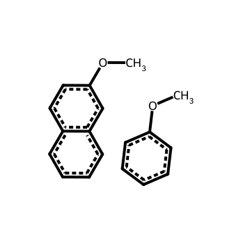 COc1ccc2ccccc2c1.COc1ccccc1